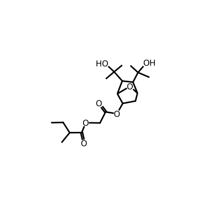 CCC(C)C(=O)OCC(=O)OC1CC2OC1C(C(C)(C)O)C2C(C)(C)O